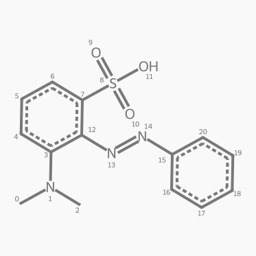 CN(C)c1cccc(S(=O)(=O)O)c1N=Nc1ccccc1